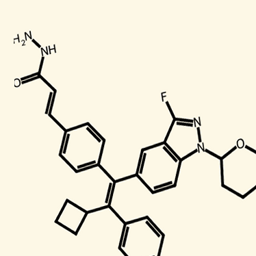 NNC(=O)C=Cc1ccc(C(=C(c2ccccc2)C2CCC2)c2ccc3c(c2)c(F)nn3C2CCCCO2)cc1